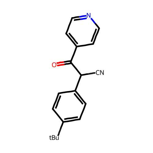 CC(C)(C)c1ccc(C(C#N)C(=O)c2ccncc2)cc1